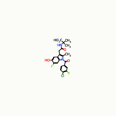 Cc1c(CC(=O)NC(C)(C)C(=O)O)c2cc(O)c(F)cc2n1C(=O)c1ccc(Cl)c(F)c1